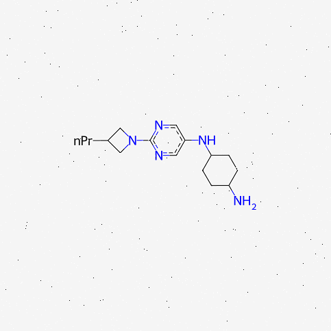 CCCC1CN(c2ncc(NC3CCC(N)CC3)cn2)C1